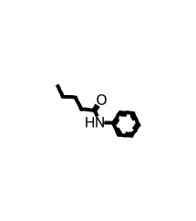 CCCCC(=O)Nc1ccccc1